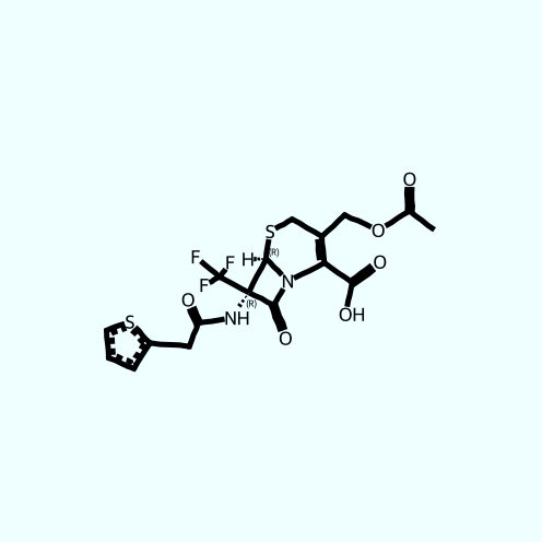 CC(=O)OCC1=C(C(=O)O)N2C(=O)[C@@](NC(=O)Cc3cccs3)(C(F)(F)F)[C@H]2SC1